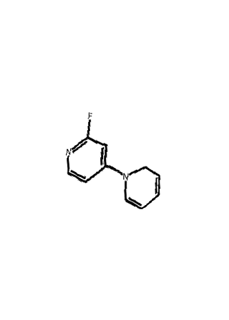 Fc1cc(N2C=CC=CC2)ccn1